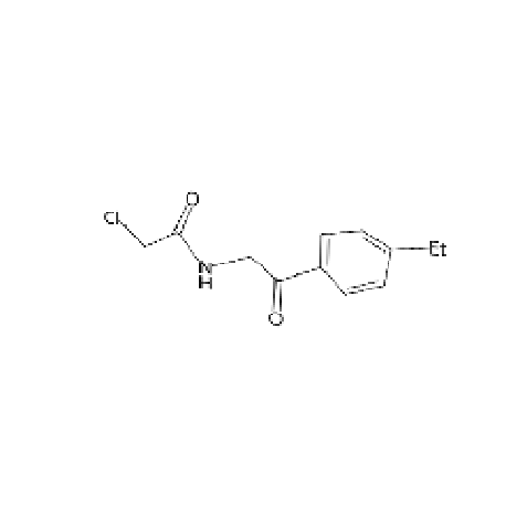 CCc1ccc(C(=O)CNC(=O)CCl)cc1